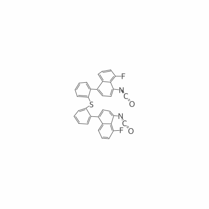 O=C=Nc1ccc(-c2ccccc2Sc2ccccc2-c2ccc(N=C=O)c3c(F)cccc23)c2cccc(F)c12